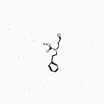 O=CCCN(CCc1ccccc1)C(=O)O